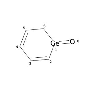 [O]=[Ge]1[CH]=CC=C[CH2]1